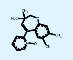 Cc1cc2c(cc1C#N)C(c1cccc[n+]1[O-])=CC(C)(C)CO2